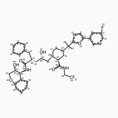 CC(C)(c1ncc(-c2cncc(F)c2)o1)N1CCN(C[C@@H](O)C[C@@H](Cc2ccccc2)C(=O)N[C@H]2c3ccccc3OC[C@H]2O)[C@H](C(=O)NCC(F)(F)F)C1